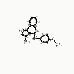 COc1ccc(Nc2nc3ccccc3c3[nH]nc(N)c23)cc1